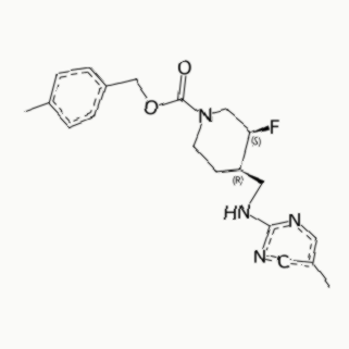 Cc1ccc(COC(=O)N2CC[C@H](CNc3ncc(C)cn3)[C@H](F)C2)cc1